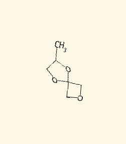 CC1COC2(COC2)O1